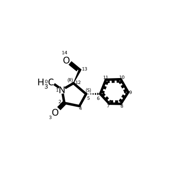 CN1C(=O)C[C@@H](c2ccccc2)[C@@H]1C=O